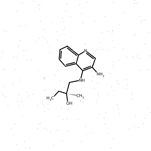 CC[C@](C)(O)CNc1c(N)cnc2ccccc12